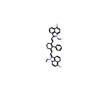 CCN1/C(=C/C=C2\CCCC(/C=C/C3=[N+](CC)c4ccc(Cl)c5cccc3c45)=C2c2ccccc2)C2=C3C(=C(Cl)C=CC31)CC=C2